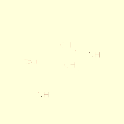 CC(C)(C)c1c(CC(C)(C)c2c[nH]c3ccccc23)ccc2[nH]ccc12